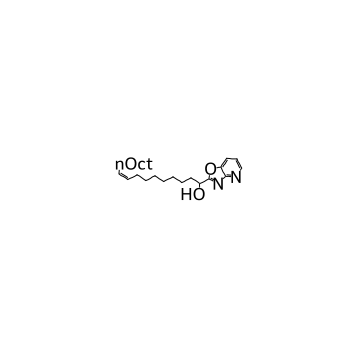 CCCCCCCC/C=C\CCCCCCCC(O)c1nc2ncccc2o1